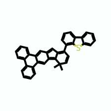 CC1(C)C=CC(c2cccc3c2sc2ccccc23)=C2C=c3cc4c5ccccc5c5ccccc5c4cc3=C21